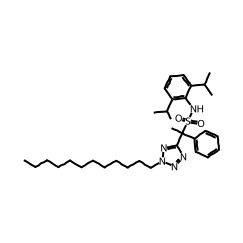 CCCCCCCCCCCCn1nnc(C(C)(c2ccccc2)S(=O)(=O)Nc2c(C(C)C)cccc2C(C)C)n1